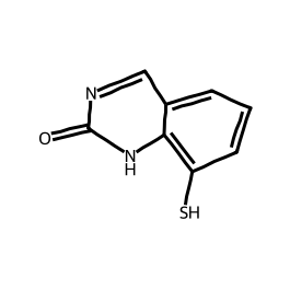 O=c1ncc2cccc(S)c2[nH]1